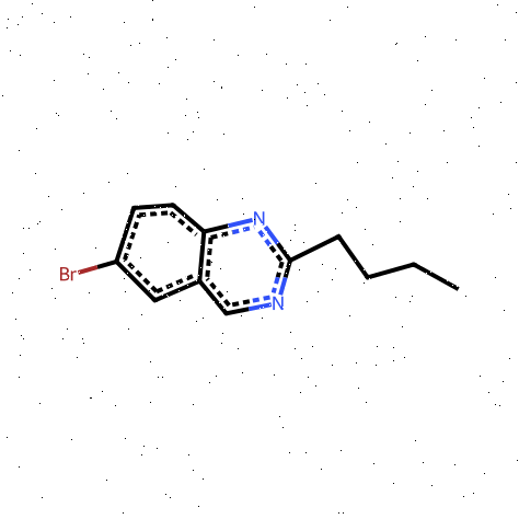 CCCCc1ncc2cc(Br)ccc2n1